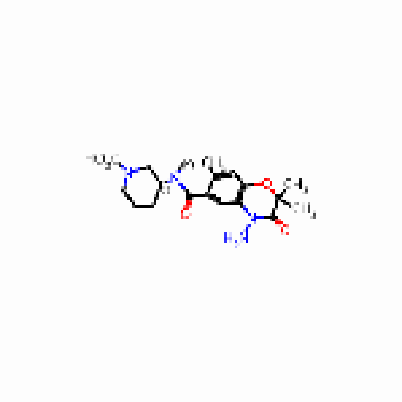 Cc1cc2c(cc1C(=O)N(C(C)C)[C@@H]1CCCN(C(=O)O)C1)N(N)C(=O)C(C)(C)O2